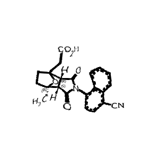 C[C@]12CCC(CC(=O)O)(O1)[C@@H]1C(=O)N(c3ccc(C#N)c4ccccc34)C(=O)[C@@H]12